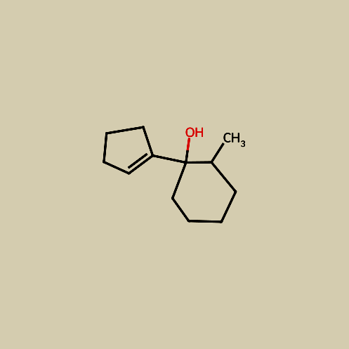 CC1CCCCC1(O)C1=CCCC1